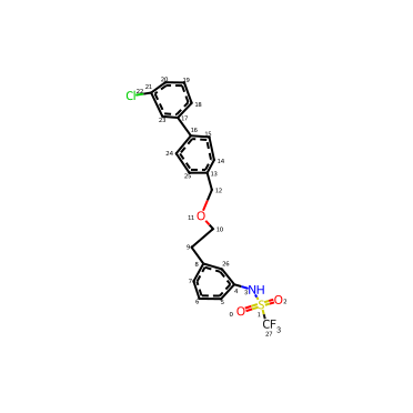 O=S(=O)(Nc1cccc(CCOCc2ccc(-c3cccc(Cl)c3)cc2)c1)C(F)(F)F